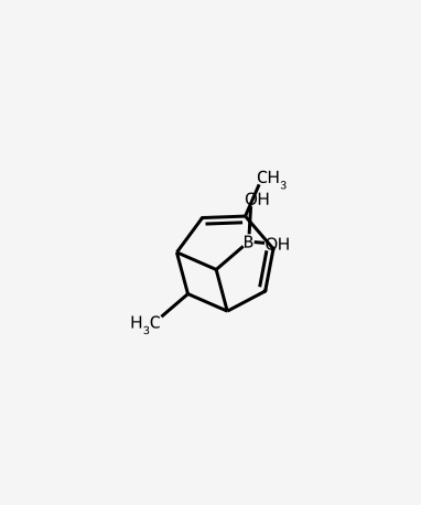 CC1=CC2C(C)C(C=C1)C2B(O)O